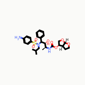 CC(C)CN(C(c1ccccc1)[C@H](O)[C@H](C)NC(=O)O[C@H]1CO[C@H]2OCC[C@H]21)S(=O)(=O)c1ccc(N)cc1